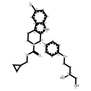 O=C(OCC1CC1)N1CCc2c([nH]c3ccc(Cl)cc23)[C@@H]1c1ccc(OCC[C@H](O)CO)cc1